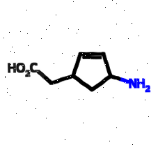 NC1C=CC(CC(=O)O)C1